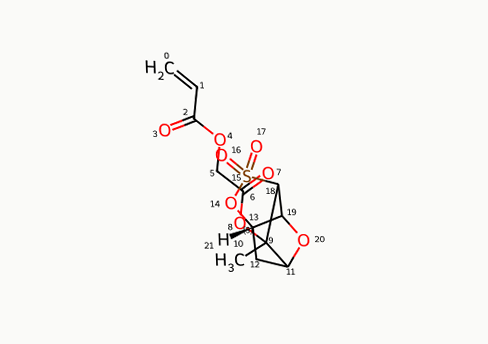 C=CC(=O)OCC(=O)OC1(C)C2C[C@@H]3OS(=O)(=O)C1C3O2